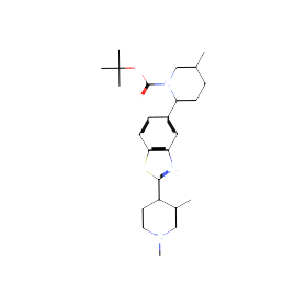 CC1CCC(c2ccc3sc(C4CCN(C)CC4C)nc3c2)N(C(=O)OC(C)(C)C)C1